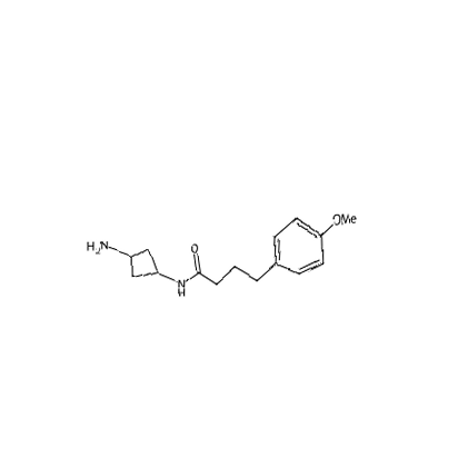 COc1ccc(CCCC(=O)NC2CC(N)C2)cc1